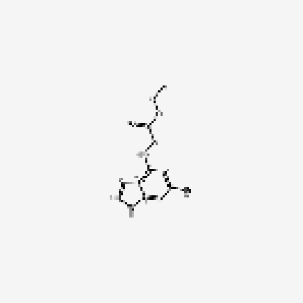 CCOC(=O)CNc1cc(Br)cc2[nH]ncc12